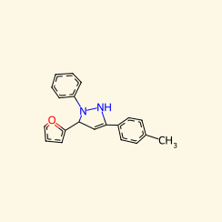 Cc1ccc(C2=CC(c3ccco3)N(c3ccccc3)N2)cc1